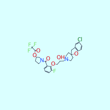 O=C(c1cccc(F)c1OC[C@H](O)CN1CCC2(CC1)Cc1cc(Cl)ccc1O2)N1CC[C@H](OC(=O)C(F)(F)F)C1